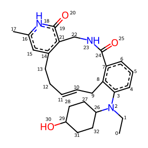 CCN(c1cccc2c1C/C=C/CCc1cc(C)[nH]c(=O)c1CNC2=O)C1CCC(O)CC1